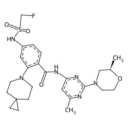 Cc1cc(NC(=O)c2ccc(NS(=O)(=O)CF)cc2N2CCC3(CC2)CC3)nc(N2CCO[C@H](C)C2)n1